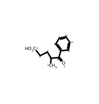 CC(CCC(=O)O)C(=O)c1ccccc1